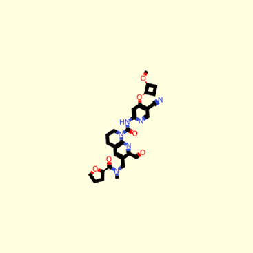 CO[C@@H]1CC[C@@H]1Oc1cc(NC(=O)N2CCCc3cc(CN(C)C(=O)[C@H]4CCCO4)c(C=O)nc32)ncc1C#N